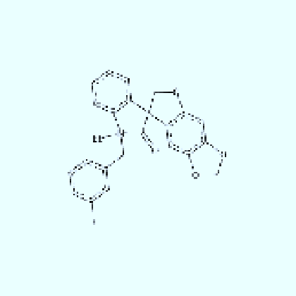 [CH]c1cccc(C[N+]2(CC)C(=O)C3(COc4cc5c(cc43)OCO5)c3ccccc32)c1